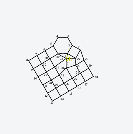 SC12C3CCC4C5C6CC7C8C9C%10CC%11C%12C%13C%14CC%15C%16C3C13C%161C%15%14C%13%14C%12%13C%10%11C9%10C89C67C56C42C32C69C%10%13C1%142